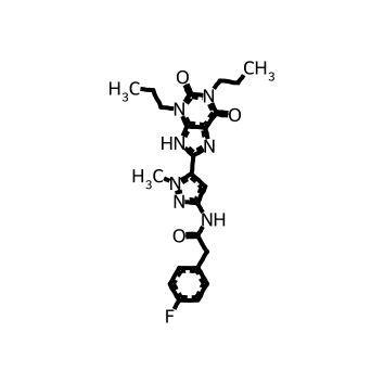 CCCn1c(=O)c2nc(-c3cc(NC(=O)Cc4ccc(F)cc4)nn3C)[nH]c2n(CCC)c1=O